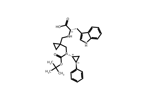 CC(C)(C)OC(=O)N(CC1(CN[C@@H](Cc2c[nH]c3ccccc23)C(=O)O)CC1)[C@@H]1C[C@H]1c1ccccc1